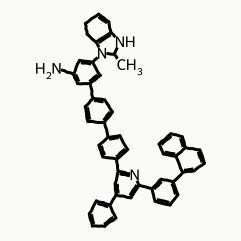 CC1NC2=C(CCC=C2)N1c1cc(N)cc(-c2ccc(-c3ccc(-c4cc(-c5ccccc5)cc(-c5cccc(-c6cccc7ccccc67)c5)n4)cc3)cc2)c1